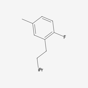 Cc1ccc(F)c(CCC(C)C)c1